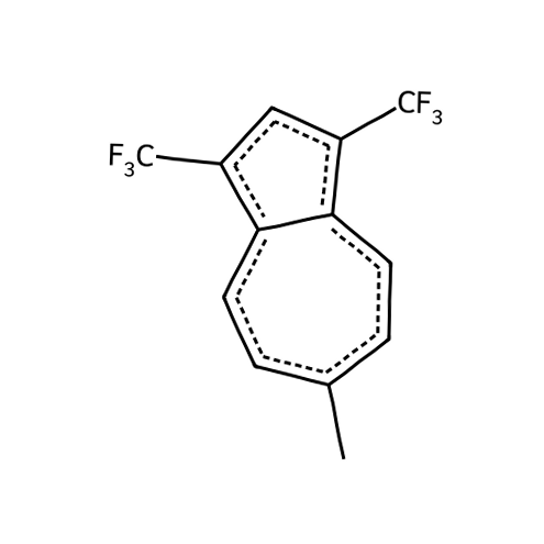 Cc1ccc2c(C(F)(F)F)cc(C(F)(F)F)c-2cc1